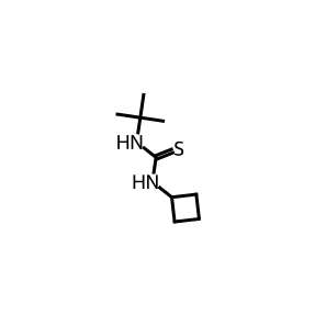 CC(C)(C)NC(=S)NC1CCC1